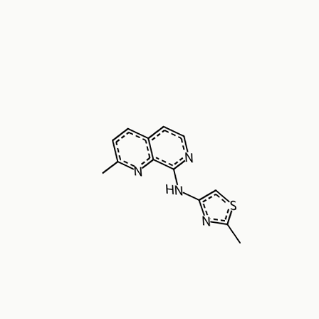 Cc1ccc2ccnc(Nc3csc(C)n3)c2n1